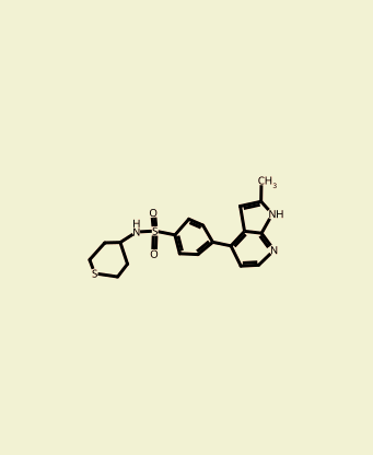 Cc1cc2c(-c3ccc(S(=O)(=O)NC4CCSCC4)cc3)ccnc2[nH]1